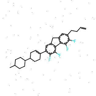 C=CCCc1cc2c(c(F)c1F)-c1c(cc(C3=CCC(C4CCC(C)CC4)CC3)c(F)c1F)C2